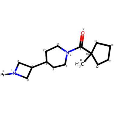 CC(C)N1CC(C2CCN(C(=O)C3(C)CCCC3)CC2)C1